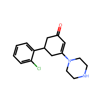 O=C1C=C(N2CCNCC2)CC(c2ccccc2Cl)C1